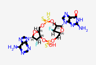 Nc1nc2c(ncn2[C@@H]2O[C@@H]3COP(O)(=S)O[C@H]4[C@H](F)[C@H](n5cnc6c(N)ncnc65)O[C@@H]4COP(=S)(S)O[C@@H]2[C@@H]3F)c(=O)[nH]1